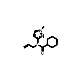 C=CCN(C(=O)C1CCCCC1)c1ccn(C)n1